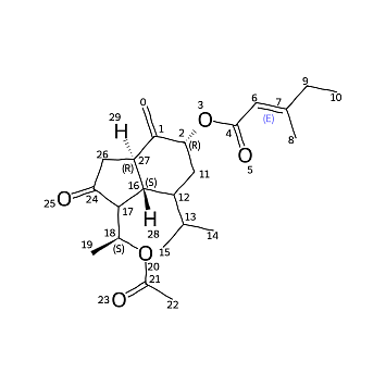 C=C1[C@H](OC(=O)/C=C(\C)CC)CC(C(C)C)[C@@H]2C([C@H](C)OC(C)=O)C(=O)C[C@@H]12